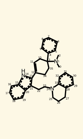 CN(C)C1(c2ccccc2)CC=C(c2[nH]c3ccccc3c2CCN2CCCc3ccccc32)CC1